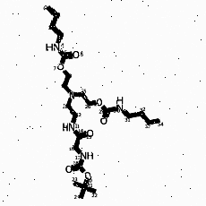 CCCCNC(=O)OCCN(CCNC(=O)CNC(=O)OC(C)(C)C)CCOC(=O)NCCCC